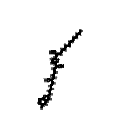 CCCCCCCCCCCCC(O)C1CCC(C(O)CCCCC(O)CCCCCC2CC(CC(C)=O)C(=O)O2)O1